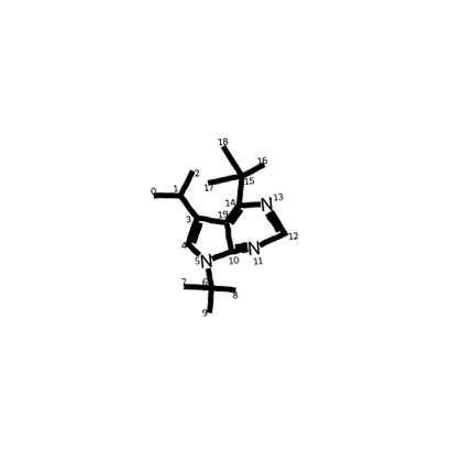 CC(C)c1cn(C(C)(C)C)c2ncnc(C(C)(C)C)c12